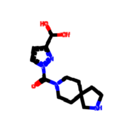 O=C(N1CCC2(CCNC2)CC1)n1ccc(C(O)O)n1